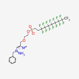 C=N/C(=C\N(N)Cc1ccccc1)COCCOS(=O)(=O)CCC(F)(F)C(F)(F)C(F)(F)C(F)(F)C(F)(F)C(F)(F)C(F)(F)C(F)(F)F